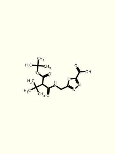 CC(C)(C)OC(=O)C(C(=O)NCc1nnc(C(=O)O)o1)C(C)(C)C